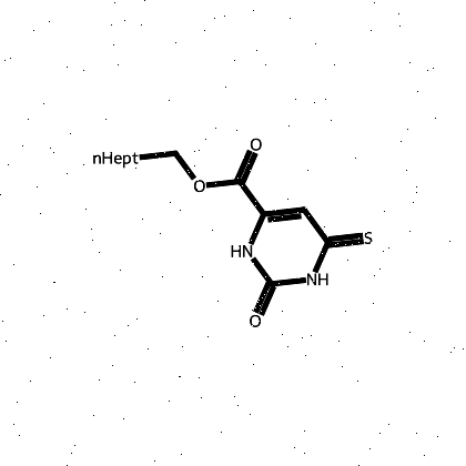 CCCCCCCCOC(=O)c1cc(=S)[nH]c(=O)[nH]1